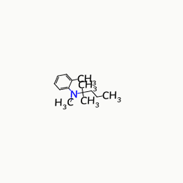 CCCC(C)(C)N(C)c1ccccc1C